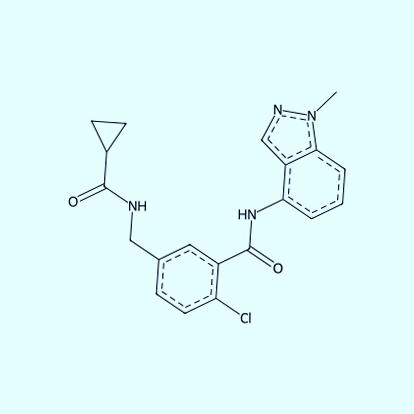 Cn1ncc2c(NC(=O)c3cc(CNC(=O)C4CC4)ccc3Cl)cccc21